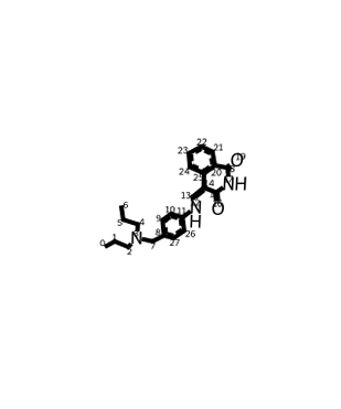 CCCN(CCC)Cc1ccc(NC=C2C(=O)NC(=O)c3ccccc32)cc1